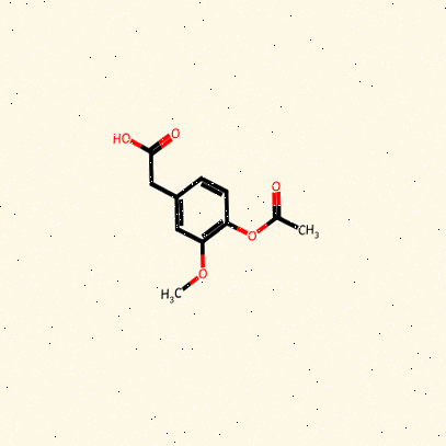 COc1cc(CC(=O)O)ccc1OC(C)=O